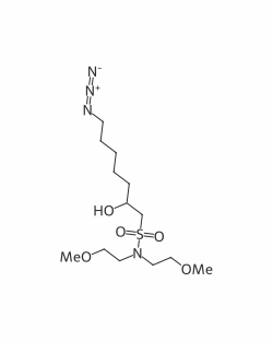 COCCN(CCOC)S(=O)(=O)CC(O)CCCCCN=[N+]=[N-]